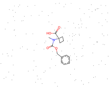 CN(C(=O)OCc1ccccc1)C1(C(=O)O)CCC1